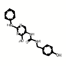 O=C(N[CH]c1ccc(O)cc1)Nc1cnc(Nc2ccccc2)nc1O